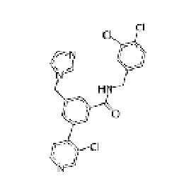 O=C(NCc1ccc(Cl)c(Cl)c1)c1cc(Cn2ccnc2)cc(-c2ccncc2Cl)c1